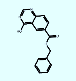 O=C(OCc1ccccc1)c1ccc2ncnc(O)c2c1